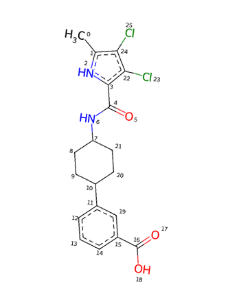 Cc1[nH]c(C(=O)NC2CCC(c3cccc(C(=O)O)c3)CC2)c(Cl)c1Cl